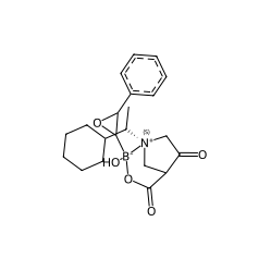 CC(C1CCCCC1)[N@+]12CC(=O)C(C1)C(=O)O[B-]2(O)C1OC1c1ccccc1